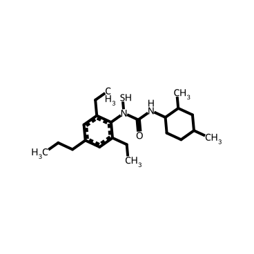 CCCc1cc(CC)c(N(S)C(=O)NC2CCC(C)CC2C)c(CC)c1